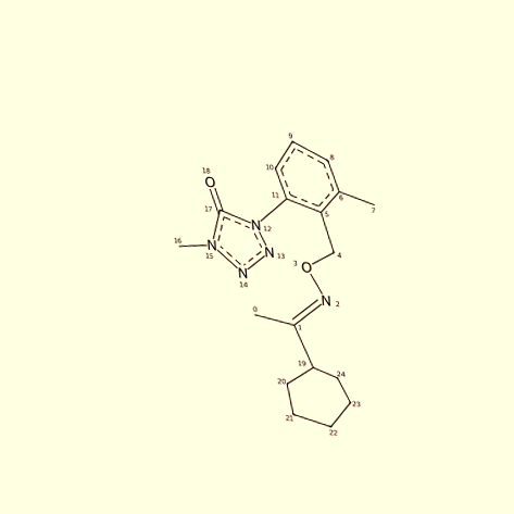 CC(=NOCc1c(C)cccc1-n1nnn(C)c1=O)C1CCCCC1